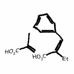 C=C(C)C(=O)O.CCC(=Cc1ccccc1)C(=O)O